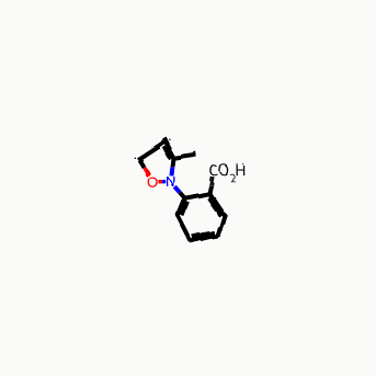 CC1=[C][CH]ON1c1ccccc1C(=O)O